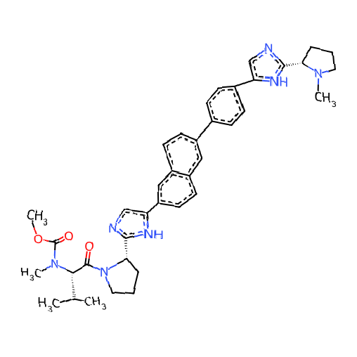 COC(=O)N(C)[C@H](C(=O)N1CCC[C@H]1c1ncc(-c2ccc3cc(-c4ccc(-c5cnc([C@@H]6CCCN6C)[nH]5)cc4)ccc3c2)[nH]1)C(C)C